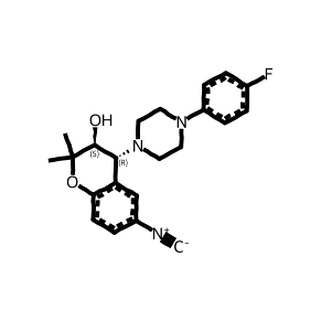 [C-]#[N+]c1ccc2c(c1)[C@@H](N1CCN(c3ccc(F)cc3)CC1)[C@H](O)C(C)(C)O2